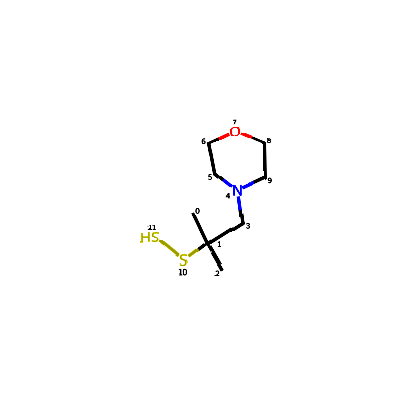 CC(C)(CN1CCOCC1)SS